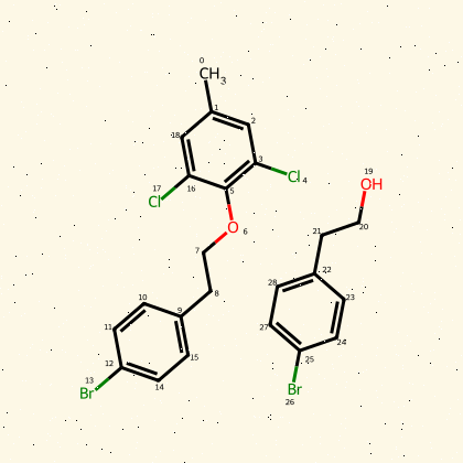 Cc1cc(Cl)c(OCCc2ccc(Br)cc2)c(Cl)c1.OCCc1ccc(Br)cc1